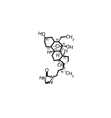 CC[C@@H]1C2C[C@H](O)CC[C@]2(C)[C@H]2CC[C@]3(C)[C@@H]([C@H](C)CCn4nc[nH]c4=O)CC[C@H]3[C@@H]2[C@@H]1O